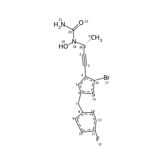 C[C@H](C#Cc1cc(Cc2ccc(F)cc2)sc1Br)N(O)C(N)=O